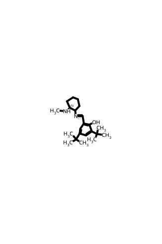 CN[C@H]1CCCCC1/N=C/c1cc(C(C)(C)C)cc(C(C)(C)C)c1O